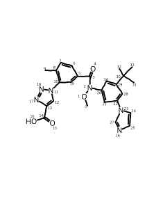 CON(C(=O)c1ccc(C)c(-n2cc(C(=O)O)nn2)c1)c1cc(-n2ccnc2)cc(C(C)(C)C)c1